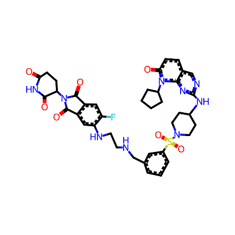 O=C1CCC(N2C(=O)c3cc(F)c(NCCNCc4cccc(S(=O)(=O)N5CCC(Nc6ncc7ccc(=O)n(C8CCCC8)c7n6)CC5)c4)cc3C2=O)C(=O)N1